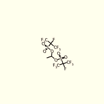 CC(OS(=O)(=O)C(F)(C(F)(F)F)C(F)(F)F)OS(=O)(=O)C(F)(C(F)(F)F)C(F)(F)F